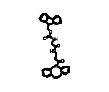 O=C(CNC(=O)OCC1c2ccccc2-c2ccccc21)NCCC(=O)N1Cc2ccccc2/C=C\c2ccccc21